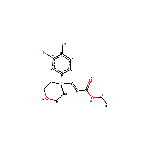 CCOC(=O)/C=C/C1(c2ccc(C)c(F)c2)CCOCC1